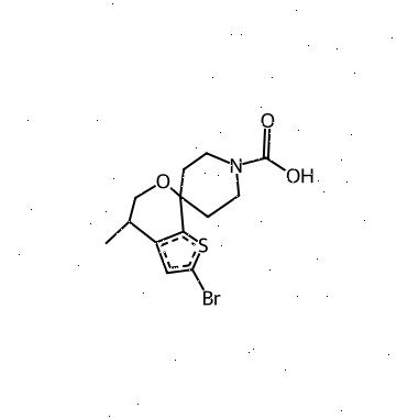 CC1COC2(CCN(C(=O)O)CC2)c2sc(Br)cc21